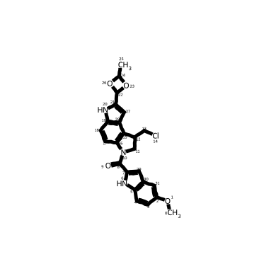 COc1ccc2[nH]c(C(=O)N3CC(CCl)c4c3ccc3[nH]c(C5OC(C)O5)cc43)cc2c1